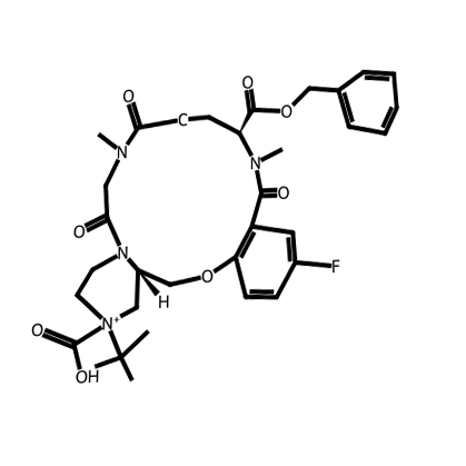 CN1CC(=O)N2CC[N+](C(=O)O)(C(C)(C)C)C[C@H]2COc2ccc(F)cc2C(=O)N(C)[C@H](C(=O)OCc2ccccc2)CCC1=O